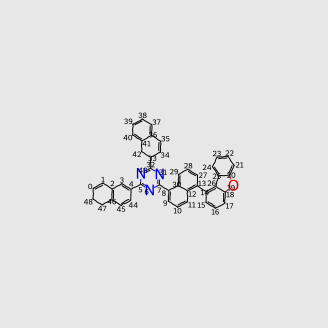 C1=Cc2cc(-c3nc(-c4cccc5c(-c6cccc7oc8ccccc8c67)cccc45)nc(C4C=Cc5ccccc5C4)n3)ccc2CC1